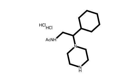 CC(=O)NCC(C1CCCCC1)N1CCNCC1.Cl.Cl